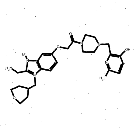 CCn1c(CN)[n+](CC2CCOCC2)c2ccc(OCC(=O)N3CCN(Cc4nc(C)ccc4O)CC3)cc21